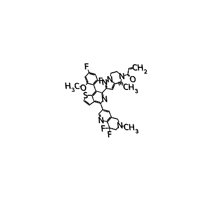 C=CC(=O)N1CCn2nc(-c3nc(-c4cnc5c(c4)CN(C)CC5(F)F)c4ccsc4c3-c3c(F)cc(F)cc3OC)cc2[C@H]1C